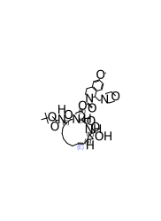 COc1ccc2c(c1)CCN(C(=O)O[C@@H]1C[C@H]3C(=O)N[C@]4(C(=O)O)C[C@H]4/C=C/CCCCC[C@H](NC(=O)OC(C)(C)C)C(=O)N3C1)C2CN1CCOCC1